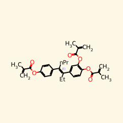 C=C(C)C(=O)Oc1ccc(/C(CCC)=C(\CC)c2ccc(OC(=O)C(=C)C)c(OC(=O)C(=C)C)c2)cc1